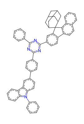 c1ccc(-c2nc(-c3ccc(-c4ccc5c(c4)c4ccccc4n5-c4ccccc4)cc3)nc(-c3ccc4c(c3)C3(c5c-4ccc4ccccc54)C4CC5CC(C4)CC3C5)n2)cc1